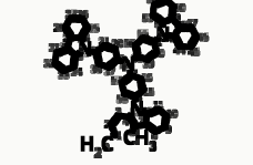 C=C/C=C\c1c(C)c2ccccc2n1-c1ccc(N(c2ccc(-n3c4ccccc4c4ccccc43)cc2)c2ccc(-n3c4ccccc4c4ccccc43)cc2)cc1